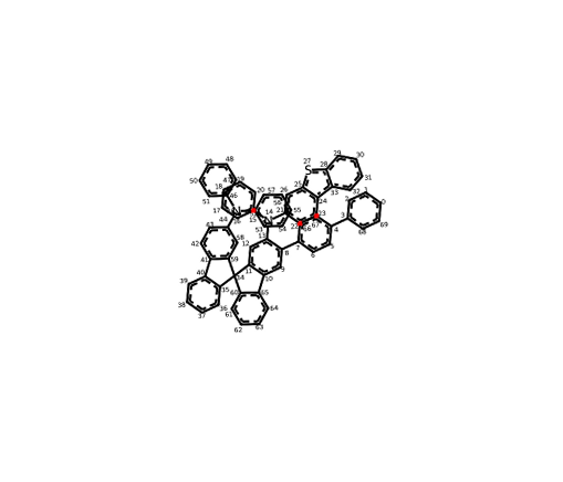 c1ccc(-c2ccc(-c3cc4c(cc3N(c3ccccc3)c3ccc5c(c3)sc3ccccc35)C3(c5ccccc5-c5ccc(N(c6ccccc6)c6ccccc6)cc53)c3ccccc3-4)cc2)cc1